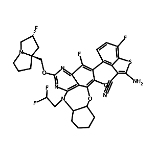 N#Cc1c(N)sc2c(F)ccc(-c3c(Cl)c4c5c(nc(OC[C@@]67CCCN6C[C@H](F)C7)nc5c3F)N(CC(F)F)C3CCCCC3O4)c12